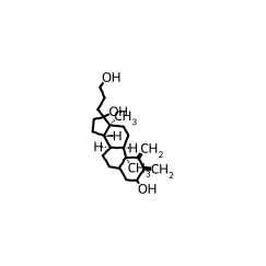 C=C1C(=C)[C@@]2(C)C(CC[C@@H]3[C@H]2CC[C@@]2(C)[C@H]3CCC2(O)CCCO)CC1O